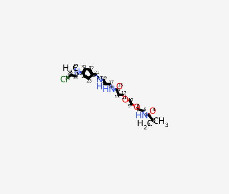 C=C(C)C(=O)NCCOCCOCCC(=O)NCCCNCc1ccc(N(C)CCCl)cc1